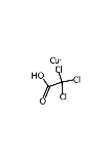 O=C(O)C(Cl)(Cl)Cl.[Cu]